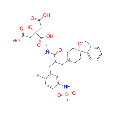 CN(C)C(=O)C(Cc1cc(NS(C)(=O)=O)ccc1F)CN1CCC2(CC1)OCc1ccccc12.O=C(O)CC(O)(CC(=O)O)C(=O)O